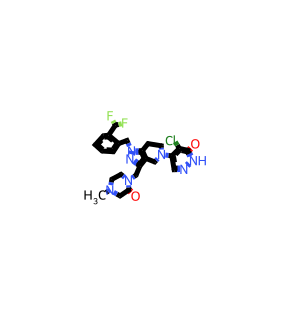 CN1CCN(Cc2nn(Cc3ccccc3C(F)F)c3c2CN(c2cn[nH]c(=O)c2Cl)CC3)C(=O)C1